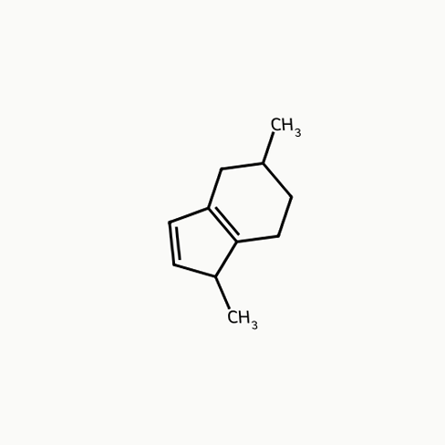 CC1CCC2=C(C=CC2C)C1